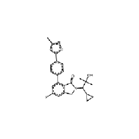 Cc1cc(-c2ccc(-c3cc(F)cc4c3C(=O)N(C(C3CC3)C(C)(C)O)C4)cc2)on1